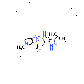 CC(C)c1n[nH]c2c1CNCC2CC(C)c1n[nH]c2c1CN(C)CC2